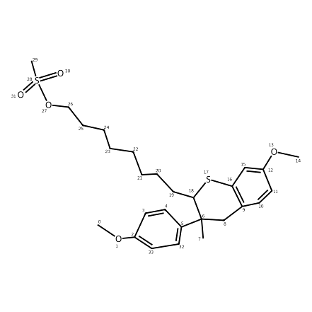 COc1ccc(C2(C)Cc3ccc(OC)cc3SC2CCCCCCCCOS(C)(=O)=O)cc1